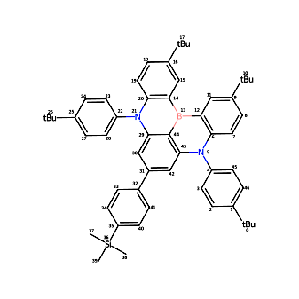 CC(C)(C)c1ccc(N2c3ccc(C(C)(C)C)cc3B3c4cc(C(C)(C)C)ccc4N(c4ccc(C(C)(C)C)cc4)c4cc(-c5ccc([Si](C)(C)C)cc5)cc2c43)cc1